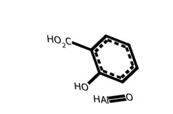 O=C(O)c1ccccc1O.[O]=[AlH]